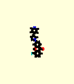 O=c1c2ccc(N3CC[C@@H](c4ccncc4)C3)cc2oc2c(F)cccc12